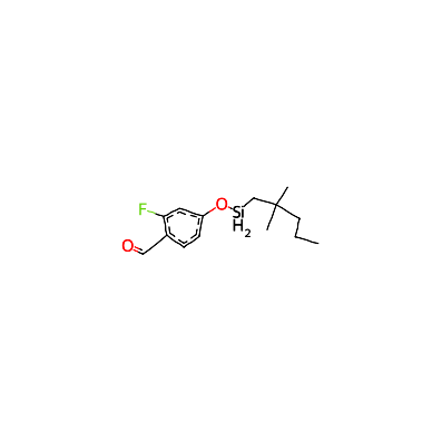 CCCC(C)(C)C[SiH2]Oc1ccc(C=O)c(F)c1